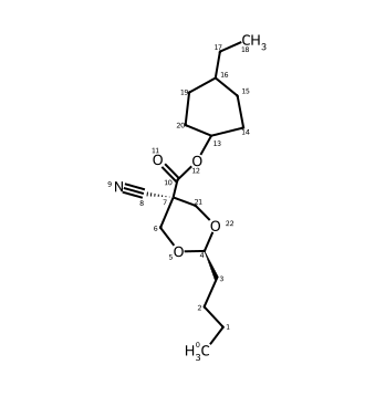 CCCC[C@H]1OC[C@@](C#N)(C(=O)OC2CCC(CC)CC2)CO1